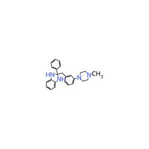 CN1CCN(c2cccc(CC3(c4ccccc4)Nc4ccccc4N3)c2)CC1